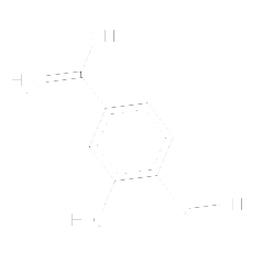 C=C(C)c1ccc(SC)c(C)c1